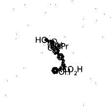 CC(C)Oc1cc(-c2ccc(CCCN(C[C@@H](O)c3ccccc3)C(=O)O)cc2)ccc1C(=O)NS(=O)(=O)CCCO